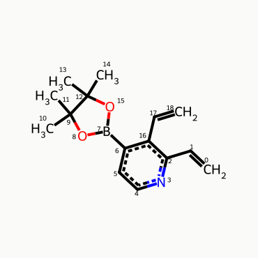 C=Cc1nccc(B2OC(C)(C)C(C)(C)O2)c1C=C